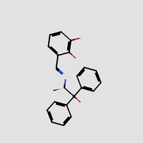 C[C@@H](N=Cc1cccc(Br)c1O)C(O)(c1ccccc1)c1ccccc1